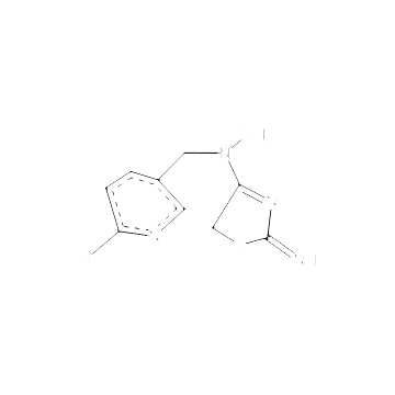 CN(Cc1ccc(Cl)nc1)C1=NC(=N)SC1